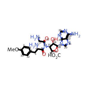 COc1ccc(C[C@H](N)C(=O)N(C(=O)CN)[C@H]2[C@@H](O)[C@H](n3cnc4c(N)ncnc43)O[C@@H]2C(=O)O)cc1